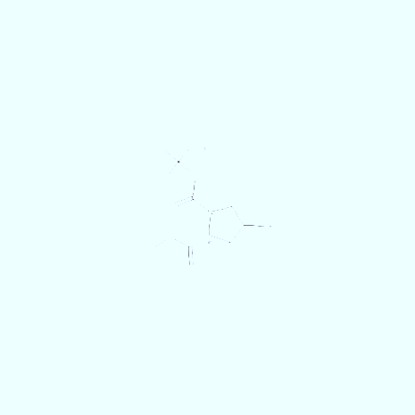 COC(=O)[C@H]1CC(O)CN1C(=O)OC(C)(C)C